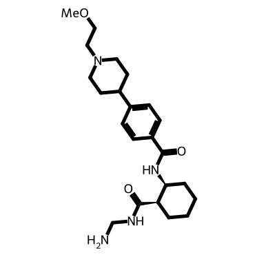 COCCN1CCC(c2ccc(C(=O)N[C@H]3CCCC[C@H]3C(=O)NCN)cc2)CC1